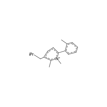 Cc1ccccc1-c1ccc(CC(C)C)c(C)[n+]1C